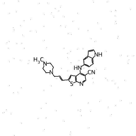 CN1CCN(CC=Cc2cc3c(Nc4ccc5[nH]ccc5c4)c(C#N)cnc3s2)CC1